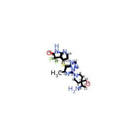 Cc1nc(N2CCC3(CC2)COCC3N)n2ncnc2c1Sc1ccnc2c1C(F)(F)C(=O)N2